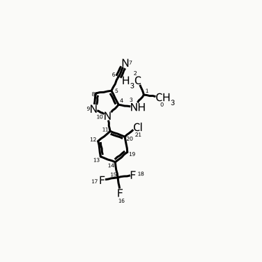 CC(C)Nc1c(C#N)cnn1-c1ccc(C(F)(F)F)cc1Cl